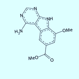 COC(=O)c1cc(OC)c2[nH]c3ncnc(N)c3c2c1